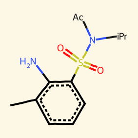 CC(=O)N(C(C)C)S(=O)(=O)c1cccc(C)c1N